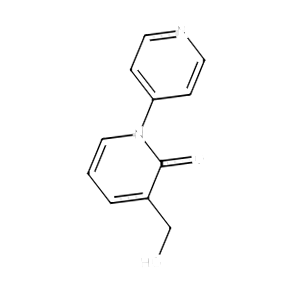 O=c1c(CO)cccn1-c1ccncc1